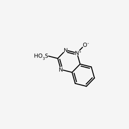 O=S(=O)(O)c1nc2ccccc2[n+]([O-])n1